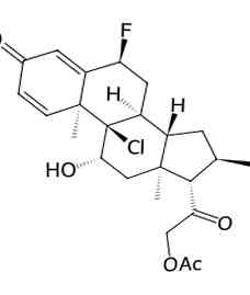 CC(=O)OCC(=O)[C@H]1[C@H](C)C[C@H]2[C@@H]3C[C@H](F)C4=CC(=O)C=C[C@]4(C)[C@@]3(Cl)[C@@H](O)C[C@@]21C